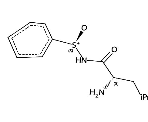 CC(C)C[C@H](N)C(=O)N[S@+]([O-])c1ccccc1